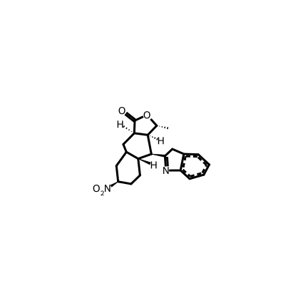 C[C@H]1OC(=O)[C@@H]2CC3C[C@H]([N+](=O)[O-])CC[C@H]3[C@H](C3=Nc4ccccc4C3)[C@H]12